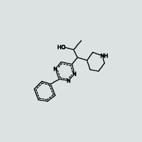 CC(O)C(c1cnc(-c2ccccc2)nn1)C1CCCNC1